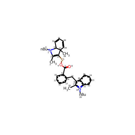 CCCCN1C(C)=C(SOC(=O)c2ccccc2Cc2c(C)n(CCCC)c3ccccc23)C2(C)C=CC=CC12